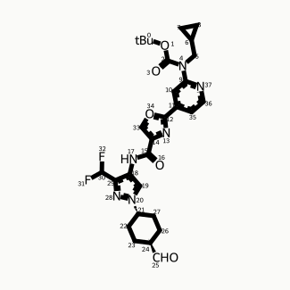 CC(C)(C)OC(=O)N(CC1CC1)c1cc(-c2nc(C(=O)Nc3cn([C@H]4CC[C@H](C=O)CC4)nc3C(F)F)co2)ccn1